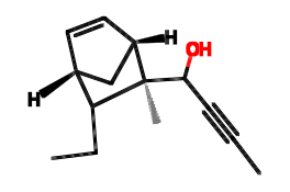 CC#CC(O)[C@@]1(C)C(CC)[C@@H]2C=C[C@H]1C2